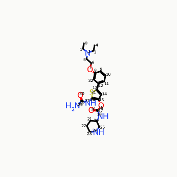 CCN(CC)CCOc1cccc(-c2cc(OC(=O)NC3CCCNC3)c(NC(N)=O)s2)c1